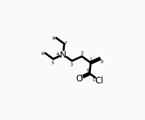 C=C(CCN(CC)CC)C(=O)Cl